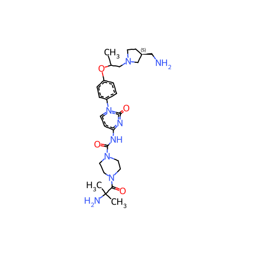 CC(CN1CC[C@@H](CN)C1)Oc1ccc(-n2ccc(NC(=O)N3CCN(C(=O)C(C)(C)N)CC3)nc2=O)cc1